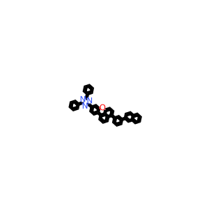 c1ccc(-c2nc(-c3ccccc3)nc(-c3ccc4c(c3)Oc3ccc(-c5cccc(-c6ccc7ccccc7c6)c5)c5cccc-4c35)n2)cc1